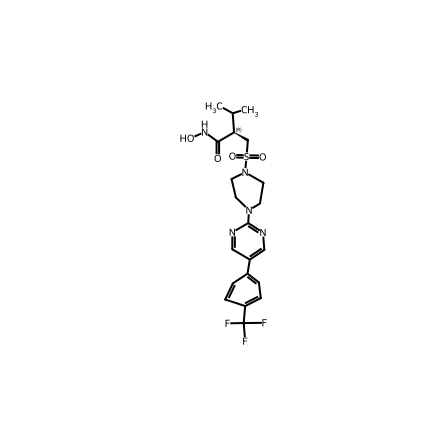 CC(C)[C@@H](CS(=O)(=O)N1CCN(c2ncc(-c3ccc(C(F)(F)F)cc3)cn2)CC1)C(=O)NO